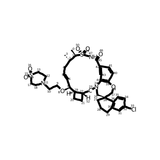 C[C@@H]1[C@@H](C)C/C=C/[C@H](OCCN2CCS(=O)(=O)CC2)[C@@H]2CC[C@H]2CN2C[C@@]3(CCCc4cc(Cl)ccc43)COc3ccc(cc32)C(=O)NS1(=O)=O